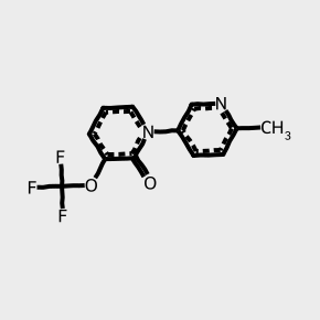 Cc1ccc(-n2cccc(OC(F)(F)F)c2=O)cn1